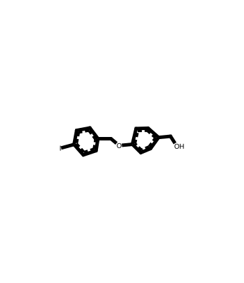 OCc1ccc(OCc2ccc(I)cc2)cc1